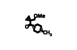 COCC1(C(=O)N2CCN(C)CC2)CC1